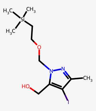 Cc1nn(COCC[Si](C)(C)C)c(CO)c1I